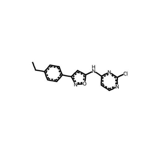 CCc1ccc(-c2cc(Nc3ccnc(Cl)n3)on2)cc1